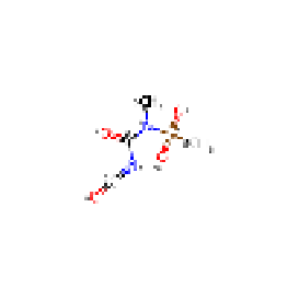 CN(C(=O)N=C=O)S(C)(=O)=O